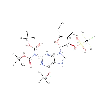 CC[C@H]1OC(n2cnc3c(OC(C)(C)C)nc(N(C(=O)OC(C)(C)C)C(=O)OC(C)(C)C)nc32)[C@H](OS(=O)(=O)C(F)(F)F)[C@@H]1C